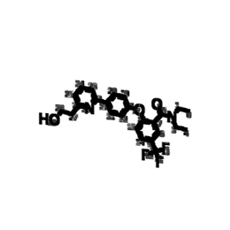 CCN(CC)C(=O)c1cc(C(F)(F)F)ccc1Oc1ccc(-c2cccc(CCO)n2)cc1